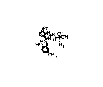 Cc1ccc(O)c(CNc2nc(NCC(C)(C)O)nc3c2ncn3C(C)C)c1